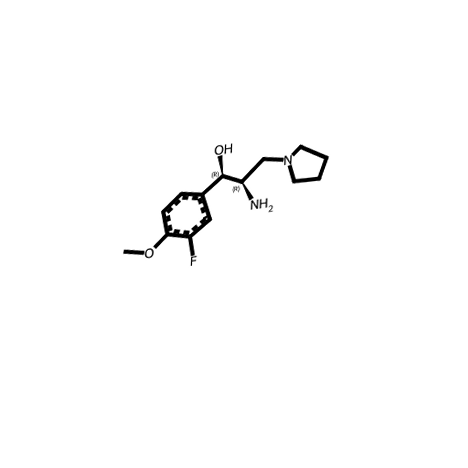 COc1ccc([C@@H](O)[C@H](N)CN2CCCC2)cc1F